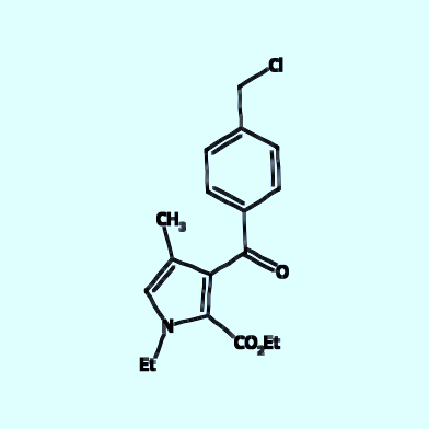 CCOC(=O)c1c(C(=O)c2ccc(CCl)cc2)c(C)cn1CC